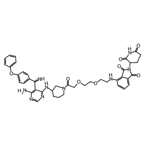 N=C(c1ccc(Oc2ccccc2)cc1)c1c(N)ncnc1NC1CCCN(C(=O)COCCOCCNc2cccc3c2C(=O)N(C2CCC(=O)NC2=O)C3=O)C1